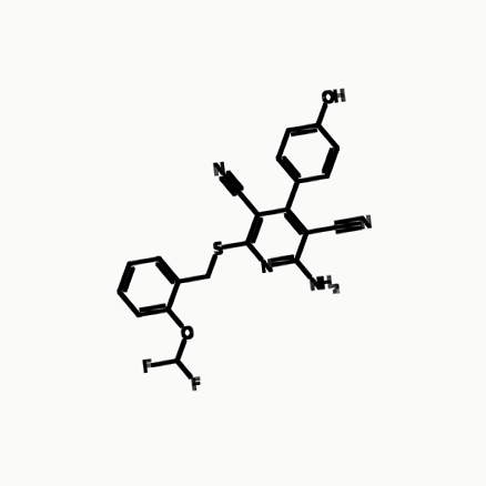 N#Cc1c(N)nc(SCc2ccccc2OC(F)F)c(C#N)c1-c1ccc(O)cc1